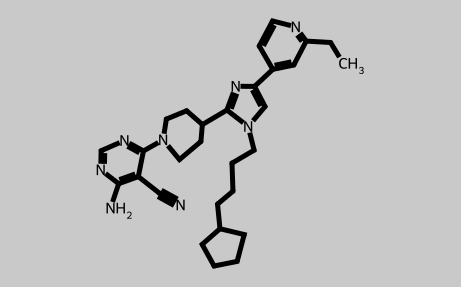 CCc1cc(-c2cn(CCCCC3CCCC3)c(C3CCN(c4ncnc(N)c4C#N)CC3)n2)ccn1